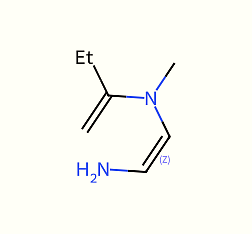 C=C(CC)N(C)/C=C\N